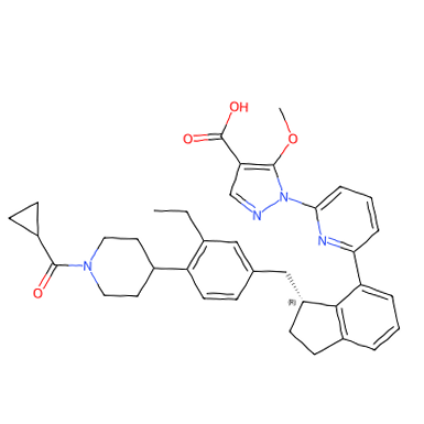 CCc1cc(C[C@H]2CCc3cccc(-c4cccc(-n5ncc(C(=O)O)c5OC)n4)c32)ccc1C1CCN(C(=O)C2CC2)CC1